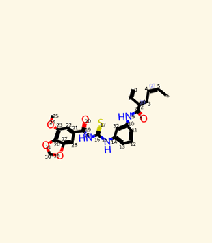 C=C/C(=C\C=C/C)C(=O)Nc1cccc(NC(=S)NC(=O)c2cc(OC)c3c(c2)OCO3)c1